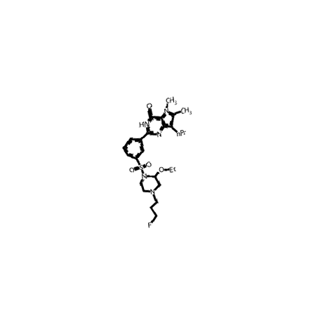 CCCc1c(C)n(C)c2c(=O)[nH]c(-c3cccc(S(=O)(=O)N4CCN(CCCF)CC4OCC)c3)nc12